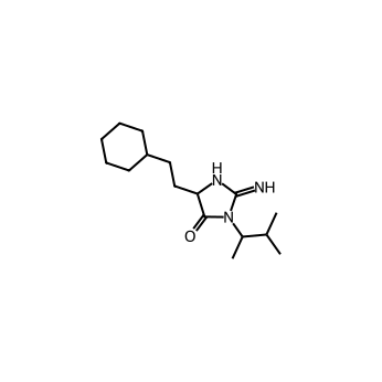 CC(C)C(C)N1C(=N)NC(CCC2CCCCC2)C1=O